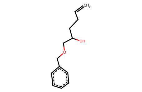 C=CCCC(O)COCc1ccccc1